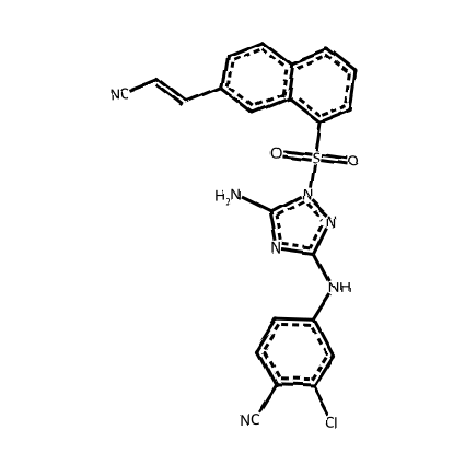 N#C/C=C/c1ccc2cccc(S(=O)(=O)n3nc(Nc4ccc(C#N)c(Cl)c4)nc3N)c2c1